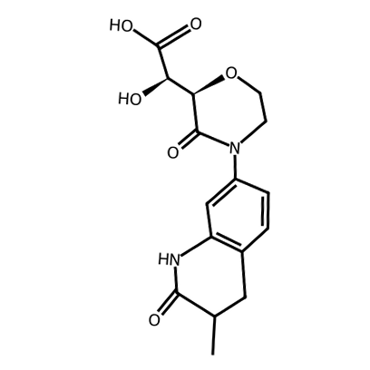 CC1Cc2ccc(N3CCO[C@H]([C@@H](O)C(=O)O)C3=O)cc2NC1=O